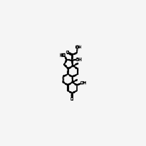 CC12C(=CC(=O)CC1O)CCC1C2CCC2(C)C1CC(O)C2(O)C(=O)CO